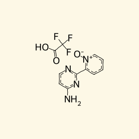 Nc1ccnc(-c2cccc[n+]2[O-])n1.O=C(O)C(F)(F)F